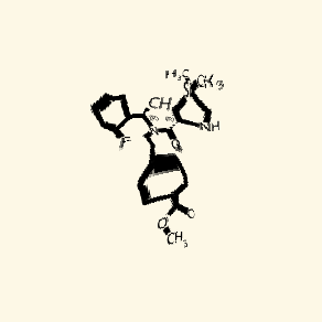 COC(=O)c1ccc(CN(C(=O)[C@@H]2C[Si](C)(C)CN2)[C@H](C)c2ccccc2F)cc1